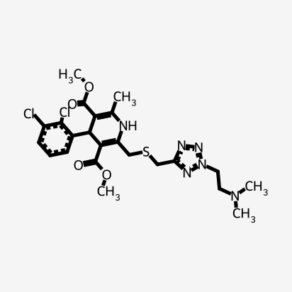 COC(=O)C1=C(C)NC(CSCc2nnn(CCN(C)C)n2)=C(C(=O)OC)C1c1cccc(Cl)c1Cl